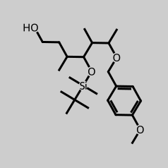 COc1ccc(COC(C)C(C)C(O[Si](C)(C)C(C)(C)C)C(C)CCO)cc1